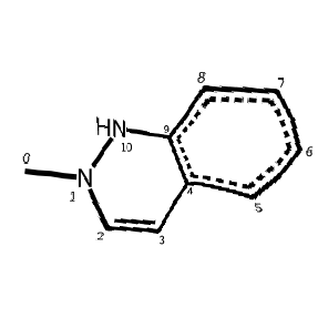 CN1C=Cc2ccccc2N1